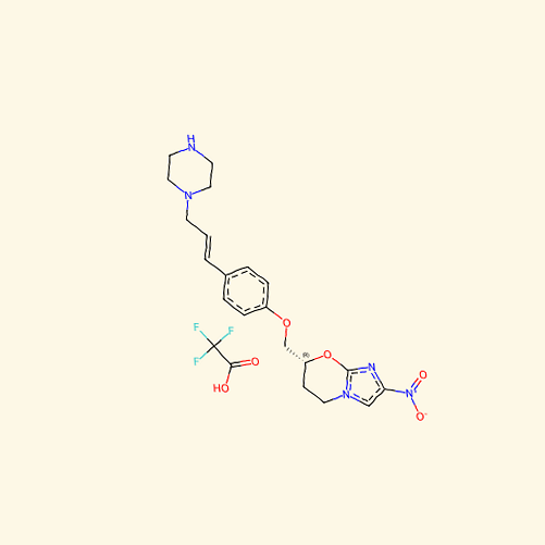 O=C(O)C(F)(F)F.O=[N+]([O-])c1cn2c(n1)O[C@@H](COc1ccc(C=CCN3CCNCC3)cc1)CC2